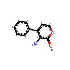 [N]c1c(-c2ccccc2)ccoc1=O